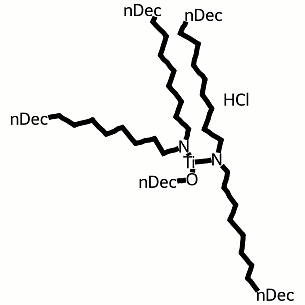 CCCCCCCCCCCCCCCCCC[N](CCCCCCCCCCCCCCCCCC)[Ti]([O]CCCCCCCCCC)[N](CCCCCCCCCCCCCCCCCC)CCCCCCCCCCCCCCCCCC.Cl